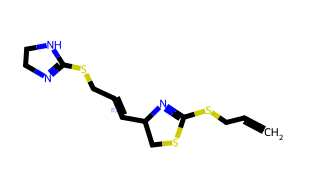 C=CCSC1=NC(/C=C/CSC2=NCCN2)CS1